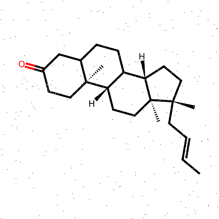 C/C=C/C[C@@]1(C)CC[C@H]2C3CCC4CC(=O)CC[C@]4(C)[C@H]3CC[C@@]21C